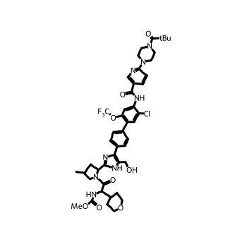 COC(=O)NC(C(=O)N1CC(C)CC1c1nc(-c2ccc(-c3cc(Cl)c(NC(=O)c4ccc(N5CCN(C(=O)C(C)(C)C)CC5)nc4)cc3OC(F)(F)F)cc2)c(CO)[nH]1)C1CCOCC1